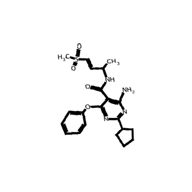 CC(C=CS(C)(=O)=O)NC(=O)c1c(N)nc(C2CCCC2)nc1Oc1ccccc1